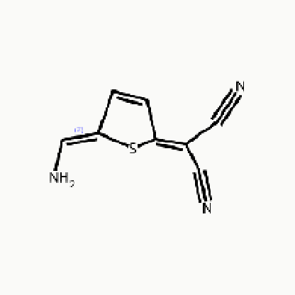 N#CC(C#N)=c1cc/c(=C/N)s1